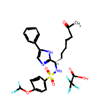 CC(=O)CCCCC[C@H](NS(=O)(=O)c1ccc(OC(F)F)cc1)c1ncc(-c2ccccc2)[nH]1.O=C(O)C(F)(F)F